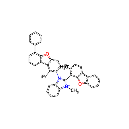 Cc1ccc2c(oc3ccccc32)c1-c1n(-c2c(C(C)C)cc3oc4c(-c5ccccc5)cccc4c3c2C(C)C)c2ccccc2[n+]1C